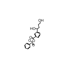 O=C(OS(=O)(=O)c1ccccc1)c1cccc(C(O)CCCO)c1